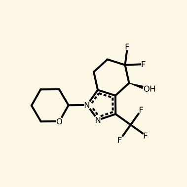 O[C@H]1c2c(C(F)(F)F)nn(C3CCCCO3)c2CCC1(F)F